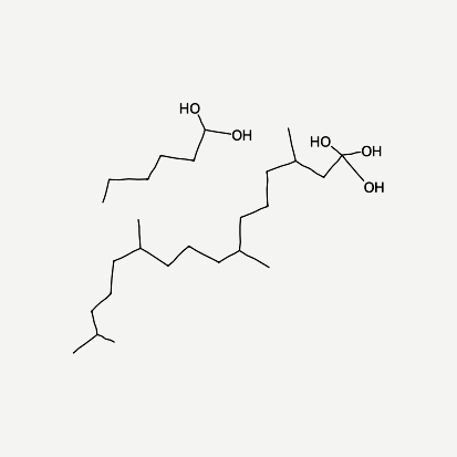 CC(C)CCCC(C)CCCC(C)CCCC(C)CC(O)(O)O.CCCCCC(O)O